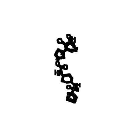 O=C(N[C@H]1CC[C@H](NS(=O)(=O)c2cccs2)CC1)O[C@@H]1CCN(c2cn[nH]c(=O)c2Cl)C1